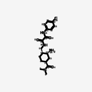 CN(C)C(=O)[C@H]1CC[C@H](CNC(=O)C(=O)Nc2ccc(Cl)cn2)[C@H](N)C1